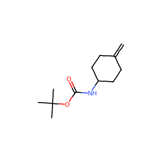 C=C1CCC(NC(=O)OC(C)(C)C)CC1